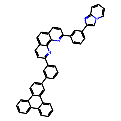 c1cc(-c2ccc3c4ccccc4c4ccccc4c3c2)cc(-c2ccc3ccc4ccc(-c5cccc(-c6cn7ccccc7n6)c5)nc4c3n2)c1